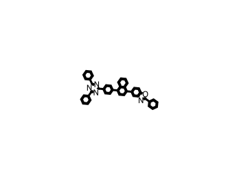 c1ccc(-c2nc(-c3ccccc3)nc(-c3ccc(-c4ccc(-c5ccc6oc(-c7ccccc7)nc6c5)c5ccccc45)cc3)n2)cc1